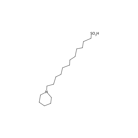 O=S(=O)(O)CCCCCCCCCCCCN1CCCCC1